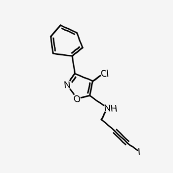 Clc1c(-c2ccccc2)noc1NCC#CI